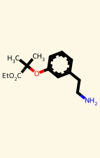 CCOC(=O)C(C)(C)Oc1cccc(CCN)c1